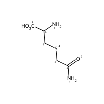 NC(=O)CSCC(N)C(=O)O